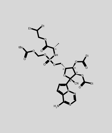 CCC(=O)O[C@H]1[C@@H](OC(=O)CC)[C@](C#N)(c2ccc3c(N)ncnn23)O[C@@H]1COP(=O)(N[C@@H](C)C(=O)OCC(CC)CC)OCOC(=O)C(C)(C)C